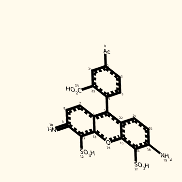 CC(=O)c1ccc(-c2c3ccc(=N)c(S(=O)(=O)O)c-3oc3c(S(=O)(=O)O)c(N)ccc23)c(C(=O)O)c1